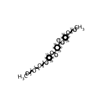 COCCOCCOCCOc1ccc(OC(=O)[C@H]2CC[C@H](C(=O)Oc3ccc(OCCOC)cc3)CC2)cc1